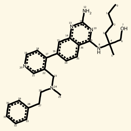 CCCCC(C)(CO)Nc1nc(N)nc2cc(-c3ccncc3CN(C)CCc3ccccc3)ccc12